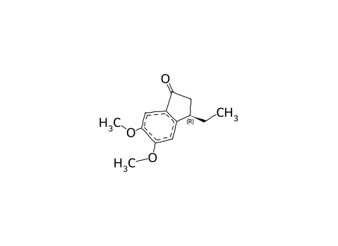 CC[C@@H]1CC(=O)c2cc(OC)c(OC)cc21